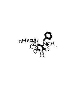 CCCCCCNC(=O)n1cc(N(C)Cc2ccccc2)c(=O)[nH]c1=O